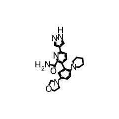 NC(=O)c1nc(-c2cn[nH]c2)ccc1-c1cc(N2CCOCC2)ccc1N1CCCCC1